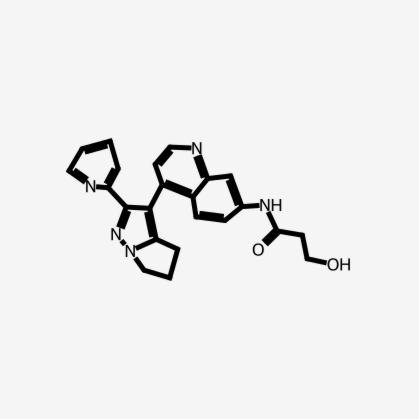 O=C(CCO)Nc1ccc2c(-c3c(-c4ccccn4)nn4c3CCC4)ccnc2c1